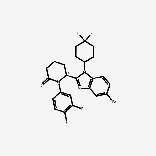 O=C1CCC[C@@H](c2nc3cc(Br)ccc3n2C2CCC(F)(F)CC2)N1c1ccc(F)c(F)c1